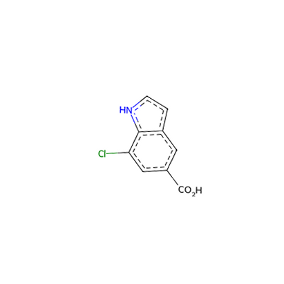 O=C(O)c1cc(Cl)c2[nH]ccc2c1